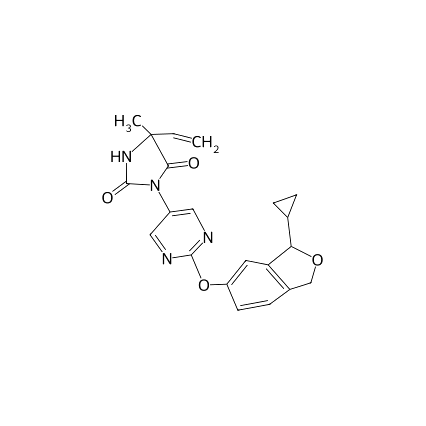 C=CC1(C)NC(=O)N(c2cnc(Oc3ccc4c(c3)C(C3CC3)OC4)nc2)C1=O